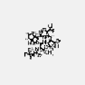 CC(C)(C)[C@H](NC(=O)[C@@H]1CC1(F)F)C(=O)N1C[C@@H]2CCC[C@@H]2[C@H]1C(=O)NN(C[C@@H]1CCNC1=O)C(=O)[C@H](F)Cl